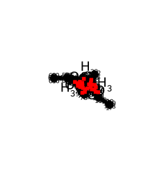 C[Si]1(c2ccc(N3C(=O)c4ccc(C#Cc5ccccc5)cc4C3=O)cc2)O[Si]2(c3ccccc3)O[SiH]3O[Si]4(c5ccccc5)O[Si](C)(c5ccc(N6C(=O)c7ccc(C#Cc8ccccc8)cc7C6=O)cc5)O[Si]5(c6ccccc6)O[Si](c6ccccc6)(O3)O[Si](c3ccccc3)(O1)O[Si](c1ccccc1)(O5)O[Si](c1ccccc1)(O2)O4